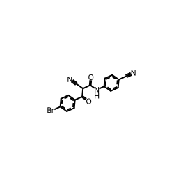 N#Cc1ccc(NC(=O)C(C#N)C(=O)c2ccc(Br)cc2)cc1